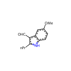 CCCc1[nH]c2ccc(OC)cc2c1C=O